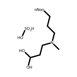 CCCCCCCCCCCCN(C)CCC(O)O.O=S(=O)(O)O